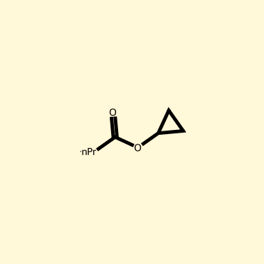 CC[CH]C(=O)OC1CC1